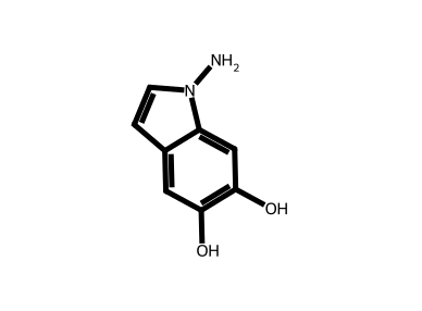 Nn1ccc2cc(O)c(O)cc21